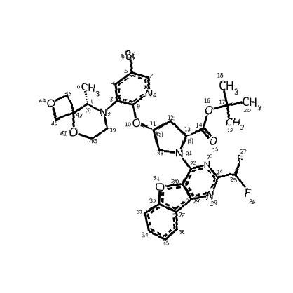 C[C@@H]1N(c2cc(Br)cnc2O[C@H]2C[C@@H](C(=O)OC(C)(C)C)N(c3nc(C(F)F)nc4c3oc3ccccc34)C2)CCOC12COC2